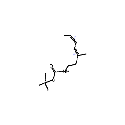 C/C=C\C=C(/C)CCNC(=O)OC(C)(C)C